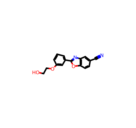 N#Cc1ccc2oc(-c3cccc(OCCO)c3)nc2c1